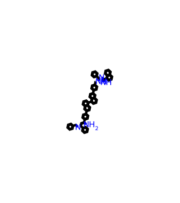 N=C(/N=C(\NCc1ccc(-c2ccc3c(-c4cccc5cc(-c6ccc(/C(N)=C/C(=N\Cc7ccccc7)c7ccccc7)cc6)ccc45)cccc3c2)cc1)c1ccccc1)c1cccc2ccccc12